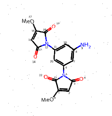 COC1=CC(=O)N(c2cc(N)cc(N3C(=O)C=C(OC)C3=O)c2)C1=O